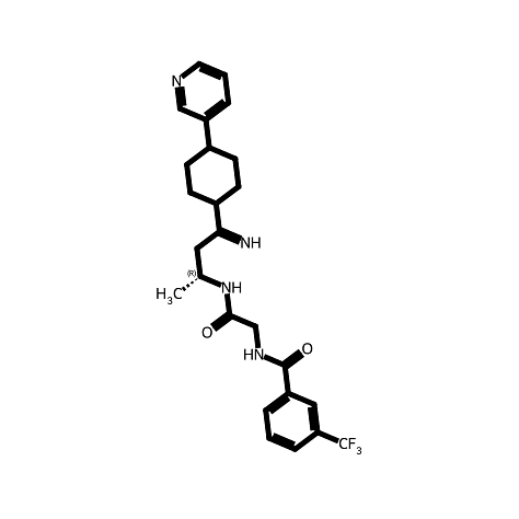 C[C@H](CC(=N)C1CCC(c2cccnc2)CC1)NC(=O)CNC(=O)c1cccc(C(F)(F)F)c1